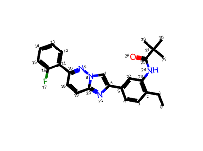 CCc1ccc(-c2cn3nc(-c4ccccc4F)ccc3n2)cc1NC(=O)C(C)(C)C